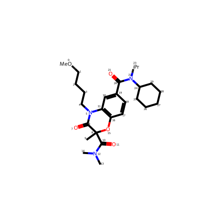 COCCCCN1C(=O)C(C)(C(=O)N(C)C)Oc2ccc(C(=O)N(C(C)C)C3CCCCC3)cc21